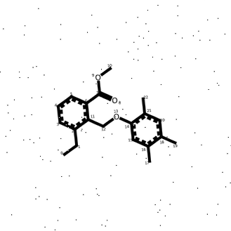 CCc1cccc(C(=O)OC)c1COc1cc(C)c(C)cc1C